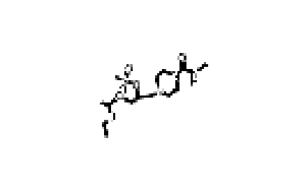 CCOC(C)OCC(CN1CCN(C(=O)NC)CC1)OS(C)(=O)=O